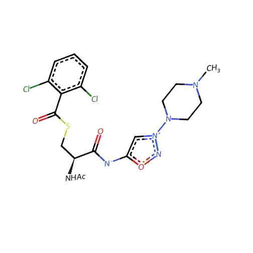 CC(=O)N[C@@H](CSC(=O)c1c(Cl)cccc1Cl)C(=O)[N-]c1c[n+](N2CCN(C)CC2)no1